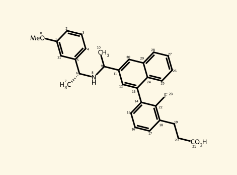 COc1cccc([C@@H](C)NC(C)c2cc(-c3cccc(CCC(=O)O)c3F)c3ccccc3c2)c1